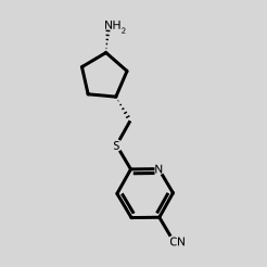 N#Cc1ccc(SC[C@@H]2CC[C@H](N)C2)nc1